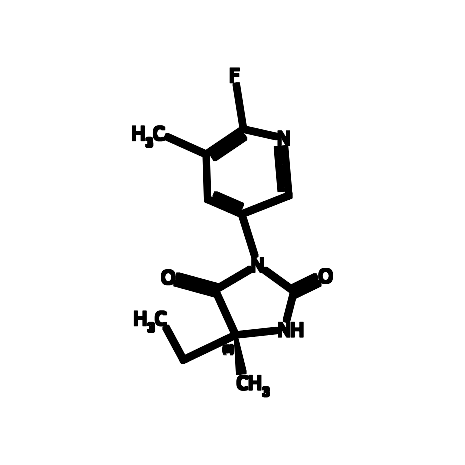 CC[C@@]1(C)NC(=O)N(c2cnc(F)c(C)c2)C1=O